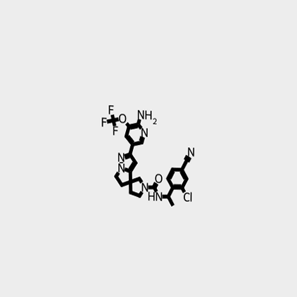 CC(NC(=O)N1CCC2(CCn3nc(-c4cnc(N)c(OC(F)(F)F)c4)cc32)C1)c1ccc(C#N)cc1Cl